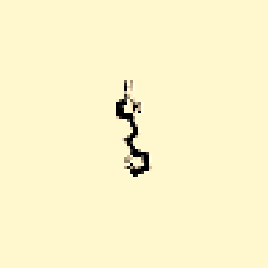 [CH](Cc1cc[nH]n1)c1cccs1